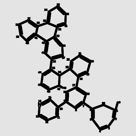 CC1=CC=CC=C(c2cc(-c3cccnc3)cc(-c3ccccc3C3C(c4ccc5c6ccccc6c6ccccc6c5c4)=CC=CC3C)c2)C1